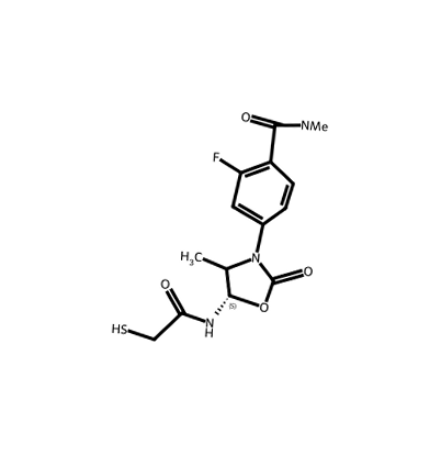 CNC(=O)c1ccc(N2C(=O)O[C@H](NC(=O)CS)C2C)cc1F